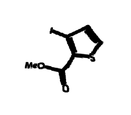 COC(=O)c1sccc1I